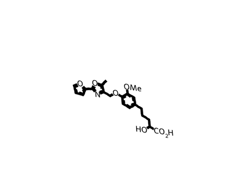 COc1cc(CCCC(O)C(=O)O)ccc1OCc1nc(-c2ccco2)oc1C